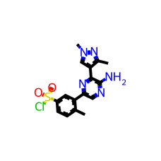 Cc1ccc(S(=O)(=O)Cl)cc1-c1cnc(N)c(-c2cn(C)nc2C)n1